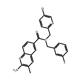 CCc1ccc(CN(Cc2cccc(F)c2)C(=O)c2ccc3nc(N)c(C)cc3c2)nc1